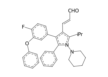 CC(C)c1c(C=CC=O)c(-c2ccc(F)c(Oc3ccccc3)c2)c(-c2ccccc2)n1N1CCCCC1